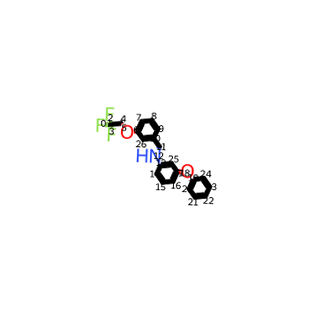 FC(F)(F)COc1cccc(CNc2cccc(Oc3ccccc3)c2)c1